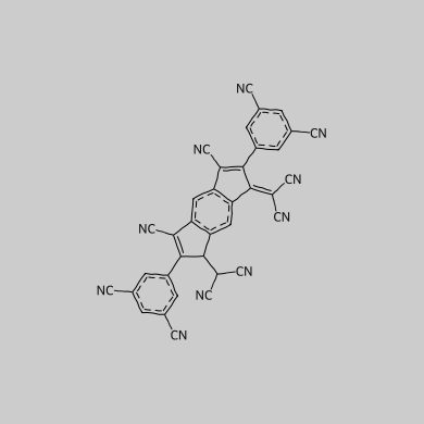 N#CC(C#N)=C1C(c2cc(C#N)cc(C#N)c2)=C(C#N)c2cc3c(cc21)C(C(C#N)C#N)C(c1cc(C#N)cc(C#N)c1)=C3C#N